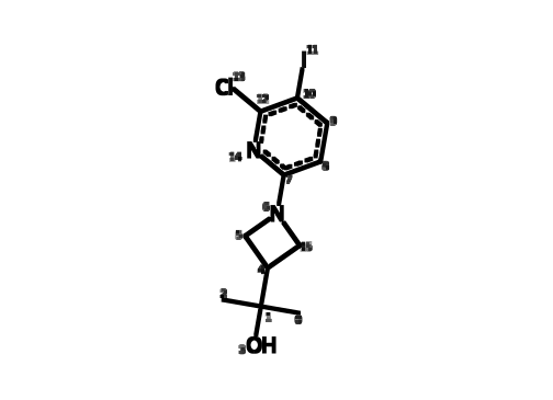 CC(C)(O)C1CN(c2ccc(I)c(Cl)n2)C1